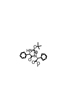 COC(=O)[C@H](NC(=O)[C@H](NC(=O)OC(C)(C)C)c1ccccc1)c1ccccc1